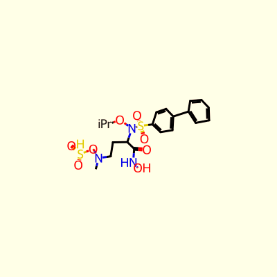 CC(C)ON(C(CCN(C)O[SH](=O)=O)C(=O)NO)S(=O)(=O)c1ccc(-c2ccccc2)cc1